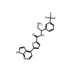 NCC(NC(=O)c1ccc(-c2ccnc3[nH]ccc23)s1)c1cccc(C(F)(F)F)c1